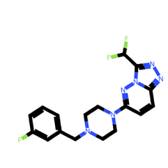 Fc1cccc(CN2CCN(c3ccc4nnc(C(F)F)n4n3)CC2)c1